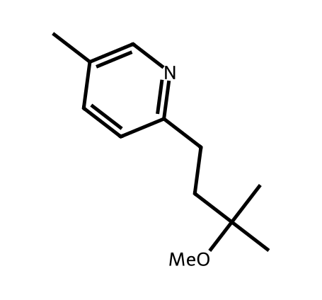 COC(C)(C)CCc1ccc(C)cn1